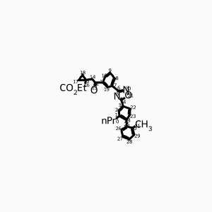 CCCc1cc(-c2nc(-c3cccc(C(=O)CC4(C(=O)OCC)CC4)c3)no2)ccc1-c1ccccc1C